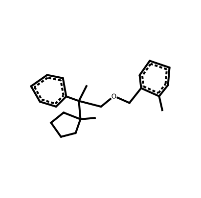 Cc1ccccc1COCC(C)(c1ccccc1)C1(C)CCCC1